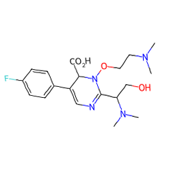 CN(C)CCON1C(C(CO)N(C)C)=NC=C(c2ccc(F)cc2)C1C(=O)O